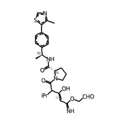 Cc1ncsc1-c1ccc([C@H](C)NC(=O)[C@@H]2CCCN2C(=O)C(/C(O)=C/C(=N)OCC=O)C(C)C)cc1